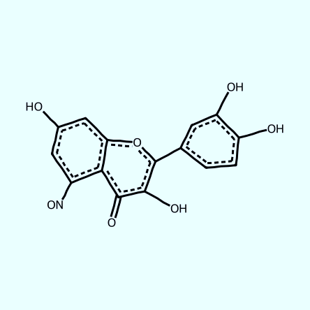 O=Nc1cc(O)cc2oc(-c3ccc(O)c(O)c3)c(O)c(=O)c12